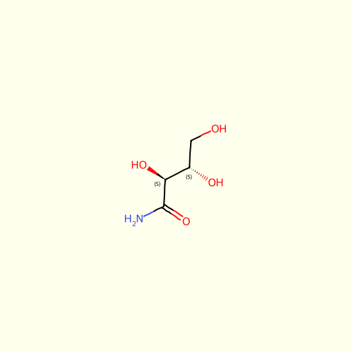 NC(=O)[C@@H](O)[C@@H](O)CO